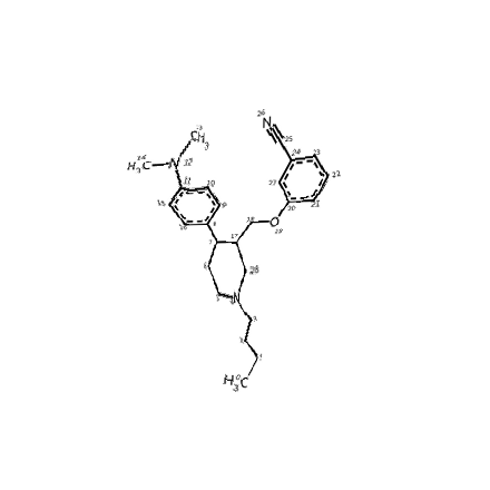 CCCCN1CCC(c2ccc(N(C)C)cc2)C(COc2cccc(C#N)c2)C1